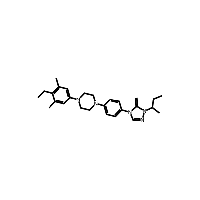 C=C1N(c2ccc(N3CCN(c4cc(C)c(CC)c(C)c4)CC3)cc2)C=NN1C(C)CC